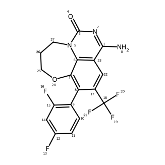 Nc1nc(=O)n2c3c(c(-c4ccc(F)cc4F)c(C(F)(F)F)cc13)OCCC2